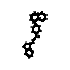 c1ccc2c(c1)CCC2CCNC1CCN(c2cccc3c2OCCO3)CC1